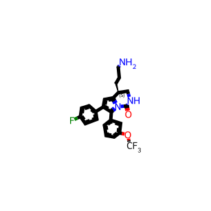 NCCC[C@H]1CNC(=O)n2c1cc(-c1ccc(F)cc1)c2-c1cccc(OC(F)(F)F)c1